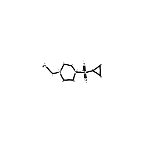 CC(C)CN1CCN(S(=O)(=O)C2CC2)CC1